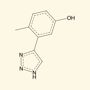 Cc1ccc(O)cc1-c1c[nH]nn1